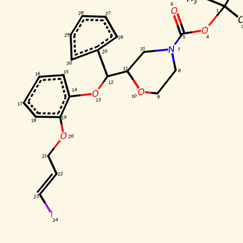 CC(C)(C)OC(=O)N1CCOC(C(Oc2ccccc2OC/C=C/I)c2ccccc2)C1